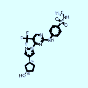 CNS(=O)(=O)c1ccc(Nc2ncc(C(F)(F)F)c(-n3cc([C@H]4CC[C@H](O)C4)cn3)n2)cc1